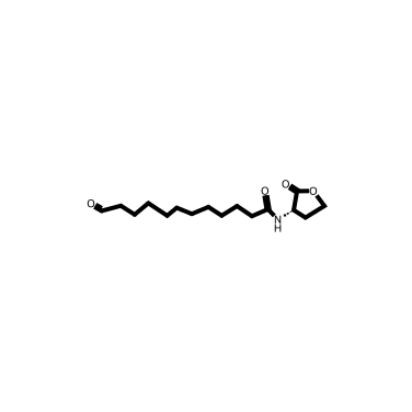 O=CCCCCCCCCCCC(=O)N[C@H]1CCOC1=O